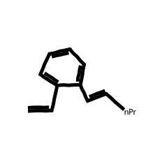 C=Cc1ccccc1/C=C/CCC